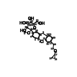 COC1(c2ccc(Cl)c(Cc3ccc(CCOC4CC4)cc3)c2)O[C@H](CO)[C@@H](O)[C@H](O)[C@H]1O